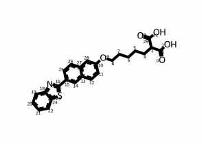 O=C(O)C(CCCCCOc1ccc2cc(-c3nc4ccccc4s3)ccc2c1)C(=O)O